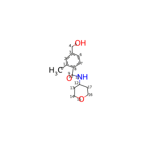 Cc1cc(CO)ccc1C(=O)NC1CCOCC1